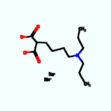 CCCN(CCC)CCCCC(C(=O)[O-])C(=O)[O-].[Na+].[Na+]